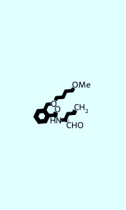 C=CC[C@@H](C=O)NC(=O)c1ccccc1COCCCCOC